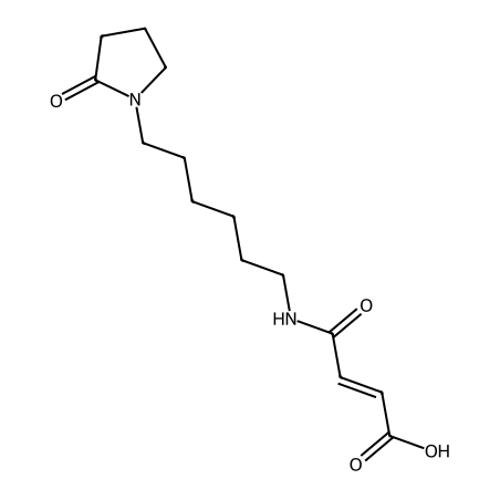 O=C(O)C=CC(=O)NCCCCCCN1CCCC1=O